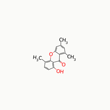 Cc1cc(C)c2c(=O)c3c(O)ccc(C)c3oc2c1